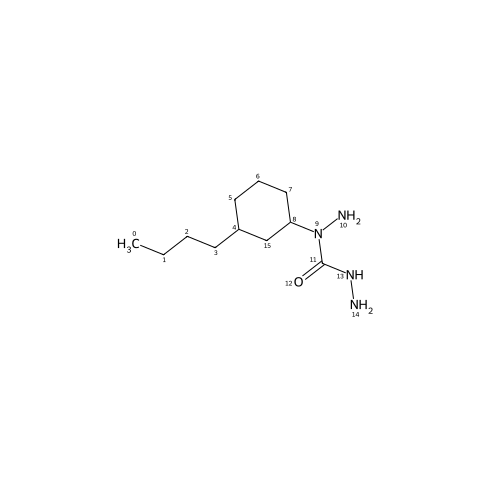 CCCCC1CCCC(N(N)C(=O)NN)C1